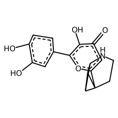 O=c1cc(C23CCNC4C2C43)oc(-c2ccc(O)c(O)c2)c1O